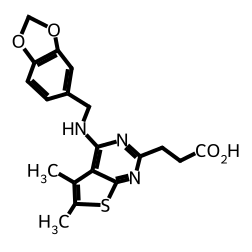 Cc1sc2nc(CCC(=O)O)nc(NCc3ccc4c(c3)OCO4)c2c1C